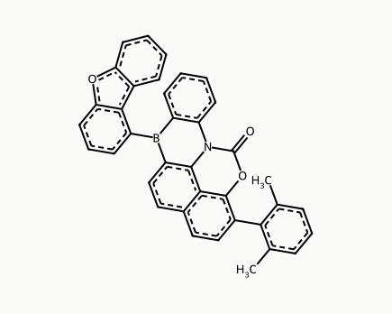 Cc1cccc(C)c1-c1ccc2ccc3c4c2c1OC(=O)N4c1ccccc1B3c1cccc2oc3ccccc3c12